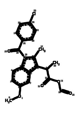 COc1ccc2c(c1)c(C(C)C(=O)OC=O)c(C)n2C(=O)c1ccc(Cl)cc1